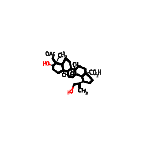 C=C(CO)[C@@H]1CC[C@]2(C(=O)O)CC[C@]3(C)C(CCC4[C@@]5(C)CC[C@H](O)[C@@](C)(COC(C)=O)C5CC[C@]43C)C12